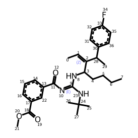 C/C=C(\C(CCCC)N/C(=N\C(=O)c1cccc(C(=O)OC)c1)NC(C)(C)C)C(C)c1ccc(F)cc1